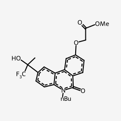 CCCCn1c(=O)c2ccc(OCC(=O)OC)cc2c2cc(C(C)(O)C(F)(F)F)ccc21